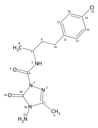 Cc1nn(C(=O)NC(C)CCc2ccc(Cl)cc2)c(=O)n1N